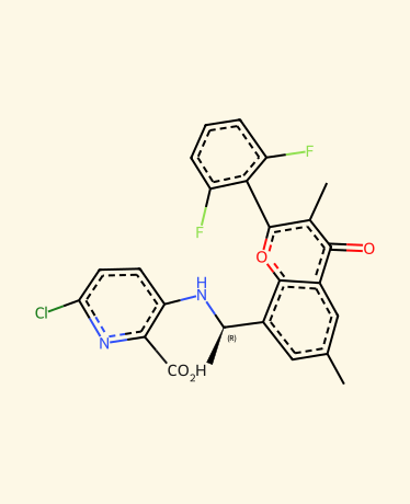 Cc1cc([C@@H](C)Nc2ccc(Cl)nc2C(=O)O)c2oc(-c3c(F)cccc3F)c(C)c(=O)c2c1